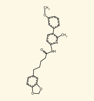 COc1cccc(-c2ccc(NC(=O)CCCCc3ccc4c(c3)OCO4)nc2C)c1